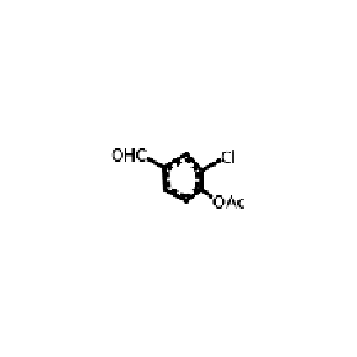 CC(=O)Oc1ccc(C=O)cc1Cl